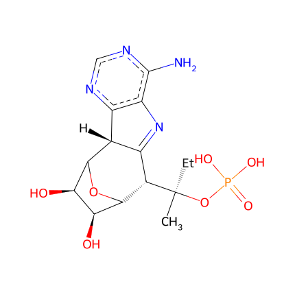 CC[C@@](C)(OP(=O)(O)O)[C@H]1C2=Nc3c(N)ncnc3[C@H]2C2OC1[C@@H](O)[C@H]2O